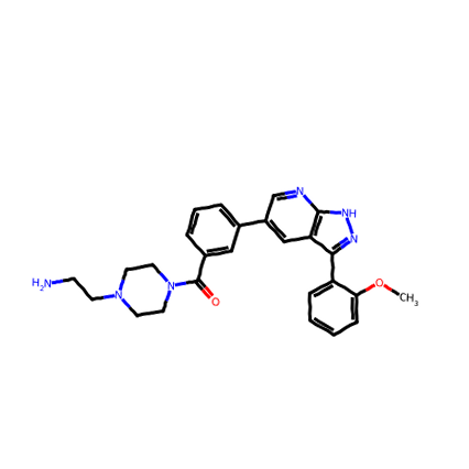 COc1ccccc1-c1n[nH]c2ncc(-c3cccc(C(=O)N4CCN(CCN)CC4)c3)cc12